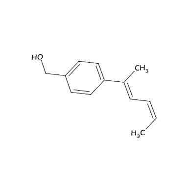 C/C=C\C=C(/C)c1ccc(CO)cc1